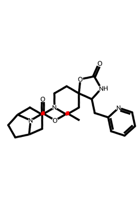 CCOC(=O)N1C2CCC1CC(N1CCC3(CC1)OC(=O)NC3Cc1ccccn1)C2